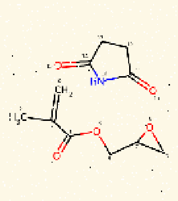 C=C(C)C(=O)OCC1CO1.O=C1CCC(=O)N1